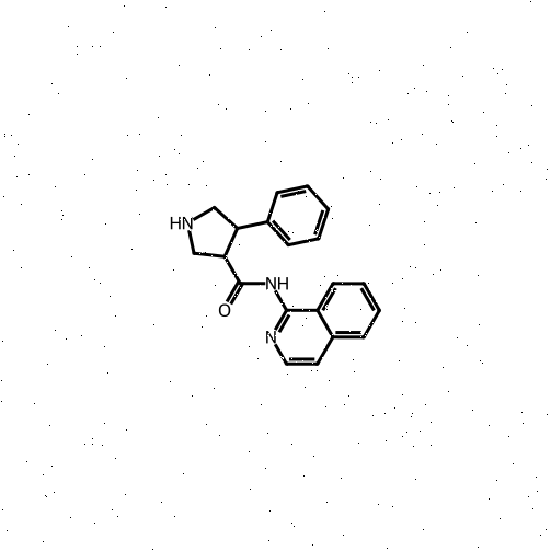 O=C(Nc1nccc2ccccc12)C1CNCC1c1ccccc1